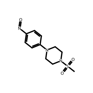 CS(=O)(=O)N1CCN(c2ccc(N=O)cc2)CC1